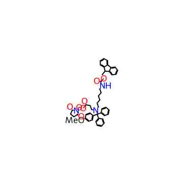 COc1ccc(C(c2ccccc2)(c2ccccc2)N(CCCCCCNC(=O)OCC2c3ccccc3-c3ccccc32)CCC(=O)OON2C(=O)CCC2=O)cc1